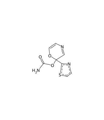 NC(=O)OC1(c2nccs2)C=NC=CO1